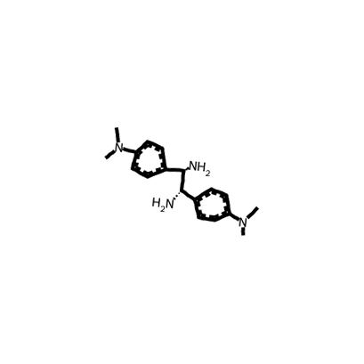 CN(C)c1ccc([C@H](N)[C@@H](N)c2ccc(N(C)C)cc2)cc1